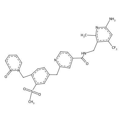 Cc1nc(N)cc(C(F)(F)F)c1CNC(=O)c1ccnc(Cc2ccc(Cn3ccccc3=O)c(S(C)(=O)=O)c2)c1